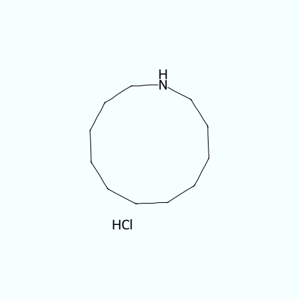 C1CCCCCNCCCCC1.Cl